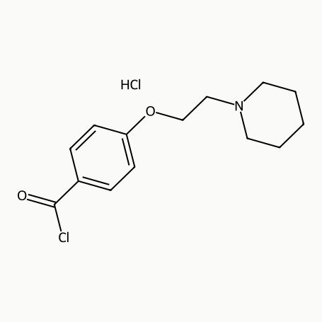 Cl.O=C(Cl)c1ccc(OCCN2CCCCC2)cc1